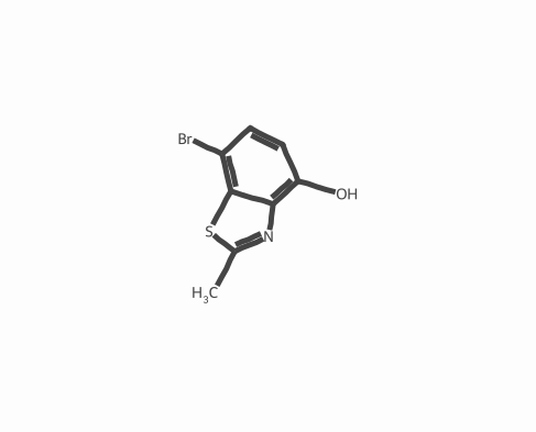 Cc1nc2c(O)ccc(Br)c2s1